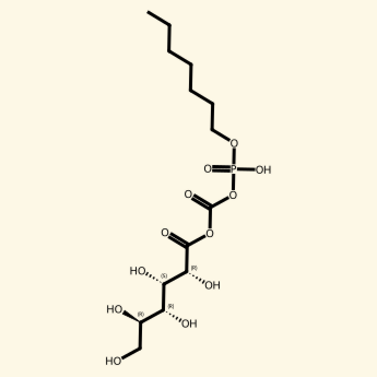 CCCCCCCOP(=O)(O)OC(=O)OC(=O)[C@H](O)[C@@H](O)[C@H](O)[C@H](O)CO